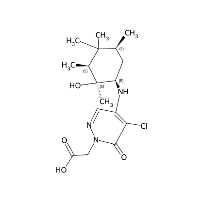 C[C@H]1C[C@@H](Nc2cnn(CC(=O)O)c(=O)c2Cl)[C@@](C)(O)[C@@H](C)C1(C)C